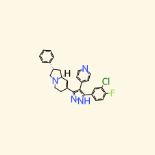 Fc1ccc(-c2[nH]nc(C3=C[C@@H]4C[C@@H](c5ccccc5)CN4CC3)c2-c2ccncc2)cc1Cl